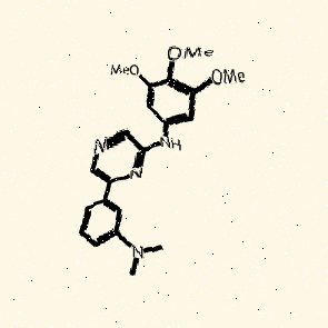 COc1cc(Nc2cncc(-c3cccc(N(C)C)c3)n2)cc(OC)c1OC